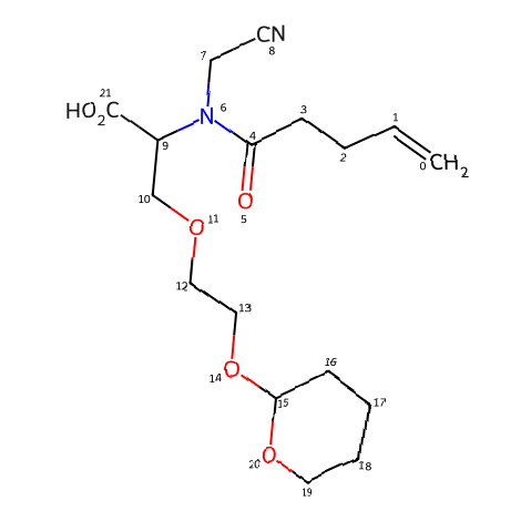 C=CCCC(=O)N(CC#N)C(COCCOC1CCCCO1)C(=O)O